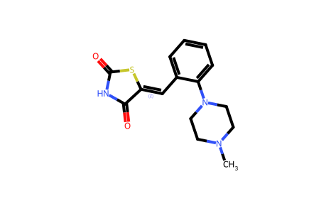 CN1CCN(c2ccccc2/C=C2\SC(=O)NC2=O)CC1